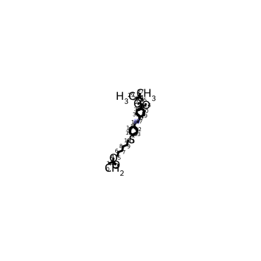 C=CC(=O)OCCCCCCSc1ccc(/C=C/c2ccc(S(=O)(=O)CC(C)CC)cc2)cc1